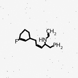 C=CNC(/C=C\CC1C=C(F)CCC1)CP